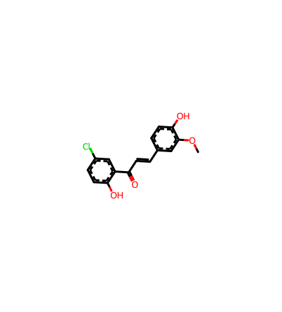 COc1cc(/C=C/C(=O)c2cc(Cl)ccc2O)ccc1O